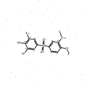 COc1ccc(S(=O)(=O)c2cc(F)c(F)c(F)c2)cc1OC